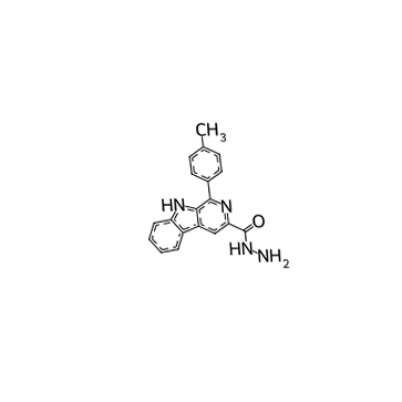 Cc1ccc(-c2nc(C(=O)NN)cc3c2[nH]c2ccccc23)cc1